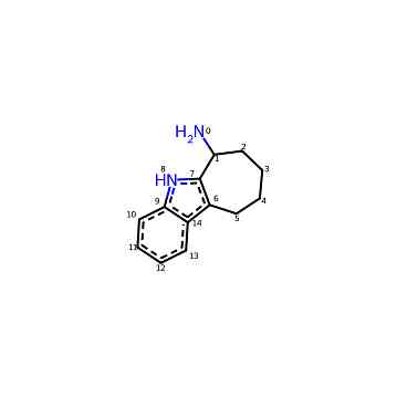 NC1CCCCc2c1[nH]c1ccccc21